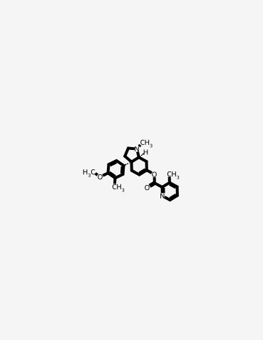 COc1ccc([C@@]23CC=C(OC(=O)c4ncccc4C)C[C@@H]2N(C)CC3)cc1C